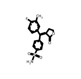 Cc1cc(C(=C2CCOC2=O)c2ccc(S(N)(=O)=O)cc2)ccc1F